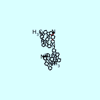 Cn1c2ccccc2c2c1ccc1c3ccccc3n(-c3cc(C(F)(F)F)c(-n4c5ccccc5c5ccc6c(c7ccccc7n6Cc6ccc7c(c6)c6ccc8c9ccccc9n(-c9cc(-c%10cccc(C#N)c%10)c(-n%10c%11ccccc%11c%11ccc%12c%13ccccc%13n(C)c%12c%11%10)cc9C(F)(F)F)c8c6n7C)c54)cc3-c3cccc(C#N)c3)c12